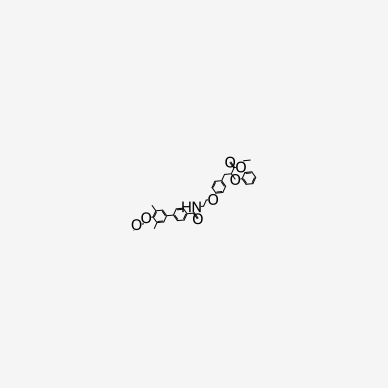 CCOC(=O)C(Cc1ccc(OCCNC(=O)c2ccc(-c3cc(C)c(OCOC)c(C)c3)cc2)cc1)Oc1ccccc1